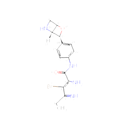 CCC(=N)/C(Br)=C(\N)C(=O)Nc1ccc([C@@H]2OC3CN[C@H]32)cc1